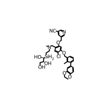 Cc1c(COc2cc(OCc3cncc(C#N)c3)c(CN(C)CC[SiH2][C@H](O)[C@H](O)CO)cc2Cl)cccc1-c1ccc2c(c1)OCCO2